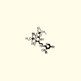 CC(C)(C)OC(=O)NC(CCNc1ncc(Br)cc1[N+](=O)[O-])C(=O)OC(C)(C)C